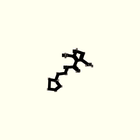 Cc1c[nH]c(C)c1C(=O)NCCN1CCCC1